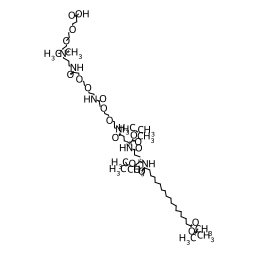 CC(C)(C)OC(=O)CCCCCCCCCCCCCCCCC(=O)N[C@@H](CCC(=O)N[C@@H](CCC(=O)NCCOCCOCC(=O)NCCOCCOCC(=O)NCCC[N+](C)(C)CCOCCOCCC(=O)O)C(=O)OC(C)(C)C)C(=O)OC(C)(C)C